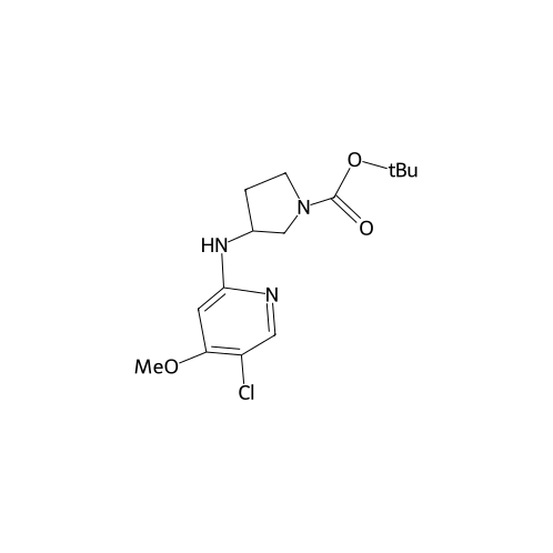 COc1cc(NC2CCN(C(=O)OC(C)(C)C)C2)ncc1Cl